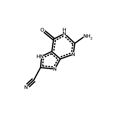 N#Cc1nc2nc(N)[nH]c(=O)c2[nH]1